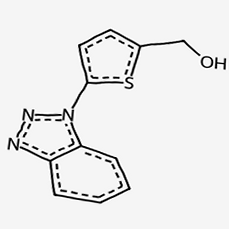 OCc1ccc(-n2nnc3ccccc32)s1